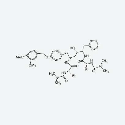 COc1ccc(COc2ccc(CN(C[C@H](O)[C@H](Cc3ccccc3)NC(=O)[C@@H](NC(=O)N(C)C)C(C)C)NC(=O)[C@@H](NC(=O)N(C)C)C(C)C)cc2)cc1OC